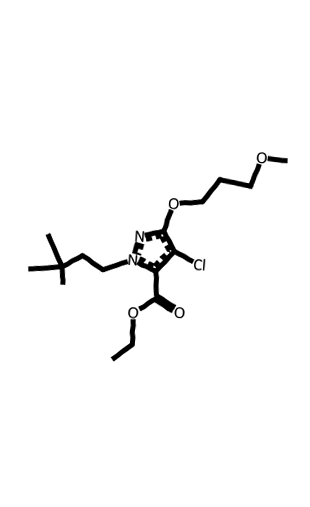 CCOC(=O)c1c(Cl)c(OCCCOC)nn1CCC(C)(C)C